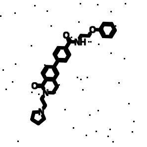 O=C(NCCOc1ccccc1)c1ccc(-c2ccc3c(c2)CCN(CCN2CCCC2)C3=O)cc1